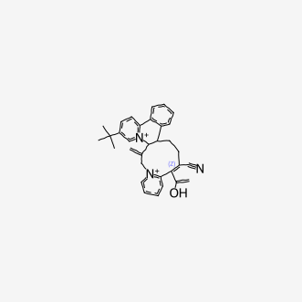 C=C(O)/C1=C(\C#N)CCC2c3ccccc3-c3ccc(C(C)(C)C)c[n+]3C2C(=C)C[n+]2ccccc21